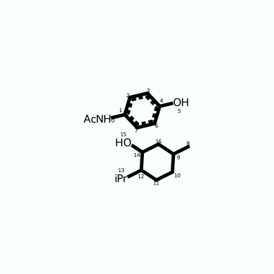 CC(=O)Nc1ccc(O)cc1.CC1CCC(C(C)C)C(O)C1